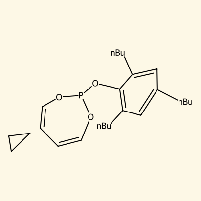 C1CC1.CCCCc1cc(CCCC)c(Op2occcco2)c(CCCC)c1